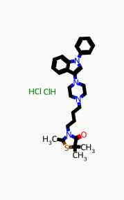 CC1SC(C)(C)C(=O)N1CCCCN1CCN(c2cn(-c3ccccc3)c3ccccc23)CC1.Cl.Cl